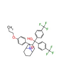 CCCOc1ccc(C[N+]2([O-])C3CCCC2CC(C(O)(c2ccc(C(F)(F)F)cc2)c2ccc(C(F)(F)F)cc2)C3)cc1